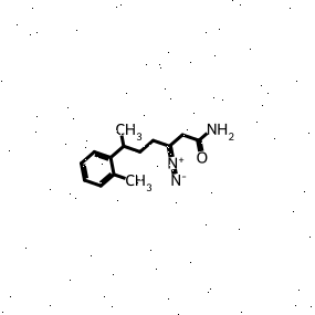 Cc1ccccc1C(C)CCC(CC(N)=O)=[N+]=[N-]